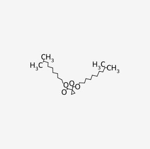 CC(C)CCCCCCCCOC(=O)C1(C(=O)OCCCCCCCCC(C)C)CC1